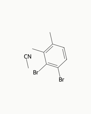 CC#N.Cc1ccc(Br)c(Br)c1C